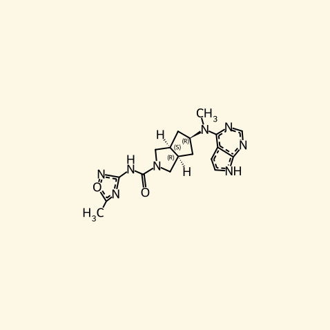 Cc1nc(NC(=O)N2C[C@H]3C[C@@H](N(C)c4ncnc5[nH]ccc45)C[C@H]3C2)no1